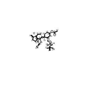 C=C1CC[C@H]2[C@H](CC#N)[C@@H]([C@@]3(C)CC[C@H](OC(C)=O)C[C@@H]3CO[Si](C)(C)C(C)(C)C)CC[C@]12C